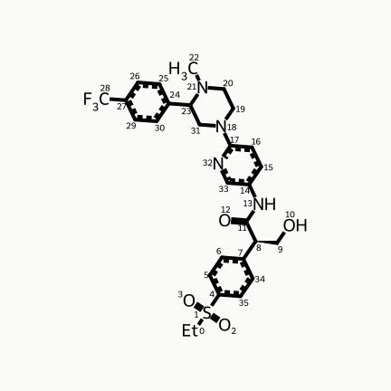 CCS(=O)(=O)c1ccc([C@H](CO)C(=O)Nc2ccc(N3CCN(C)C(c4ccc(C(F)(F)F)cc4)C3)nc2)cc1